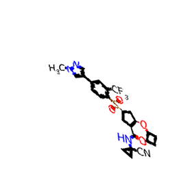 Cn1cc(-c2ccc(S(=O)(=O)[C@@H]3C[C@H](OC4CCC4)[C@@H](C(=O)NC4(C#N)CC4)C3)c(C(F)(F)F)c2)cn1